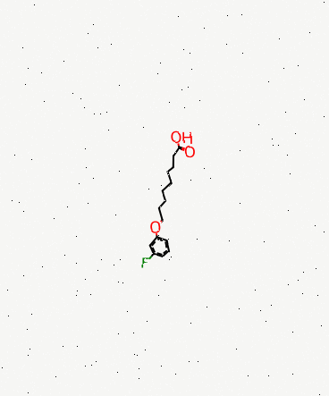 O=C(O)CCCCCCCCOc1cccc(F)c1